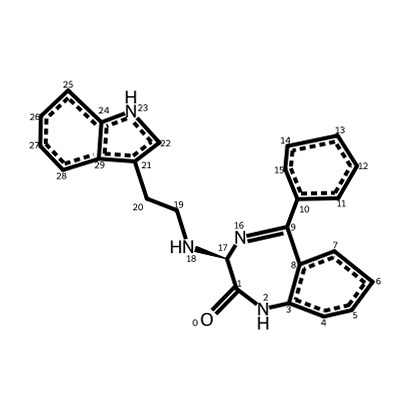 O=C1Nc2ccccc2C(c2ccccc2)=N[C@@H]1NCCc1c[nH]c2ccccc12